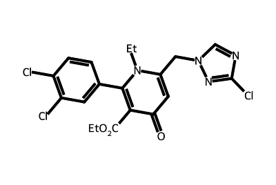 CCOC(=O)c1c(-c2ccc(Cl)c(Cl)c2)n(CC)c(Cn2cnc(Cl)n2)cc1=O